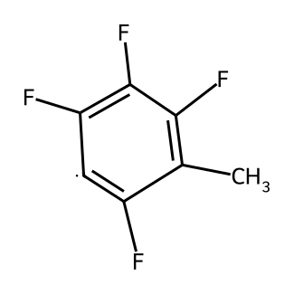 Cc1c(F)[c]c(F)c(F)c1F